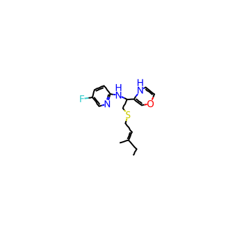 CC/C(C)=C/CSCC(Nc1ccc(F)cn1)C1=COC=CN1